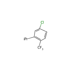 CC(C)c1cc(Cl)ccc1C(F)(F)F